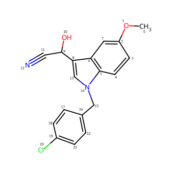 COc1ccc2c(c1)c(C(O)C#N)cn2Cc1ccc(Cl)cc1